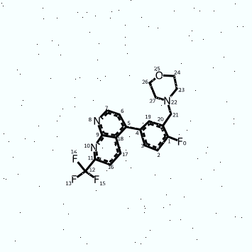 Fc1ccc(-c2ccnc3nc(C(F)(F)F)ccc23)cc1CN1CCOCC1